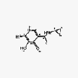 CCc1[nH]cc(C(C)NC2CC2)c(=O)c1O